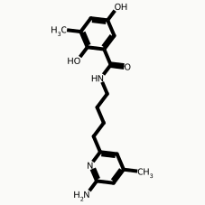 Cc1cc(N)nc(CCCCNC(=O)c2cc(O)cc(C)c2O)c1